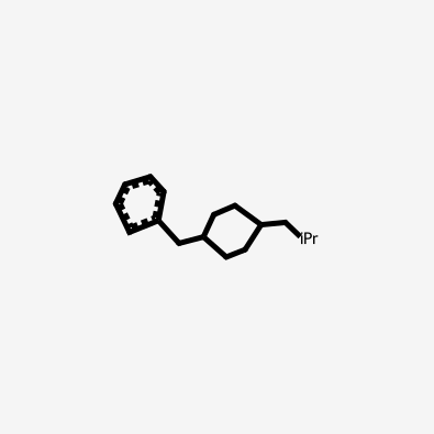 CC(C)CC1CCC(Cc2ccccc2)CC1